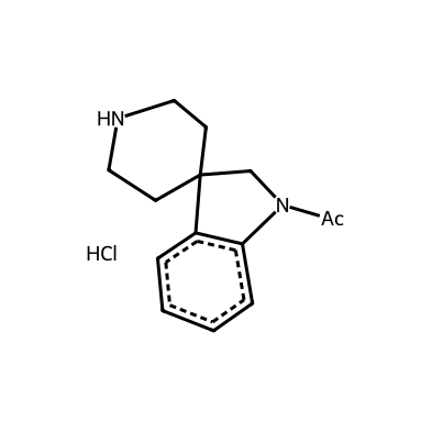 CC(=O)N1CC2(CCNCC2)c2ccccc21.Cl